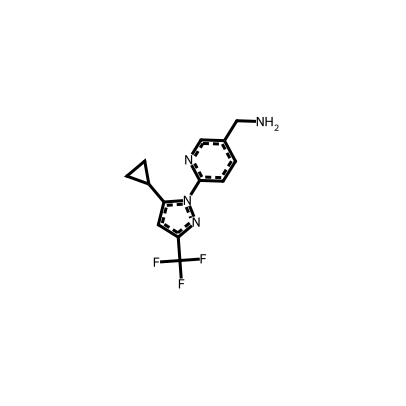 NCc1ccc(-n2nc(C(F)(F)F)cc2C2CC2)nc1